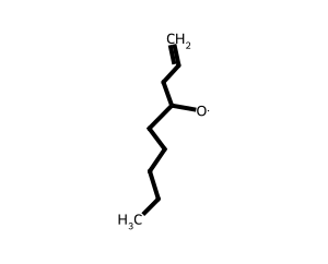 C=CCC([O])CCCCC